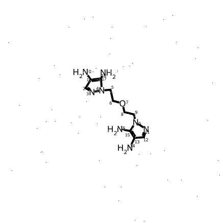 Nc1cnn(CCOCCn2ncc(N)c2N)c1N